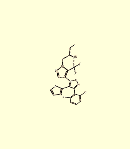 CCC(O)Cn1ncc(-c2onc(-c3c(F)cccc3Cl)c2-c2nccs2)c1C(F)(F)F